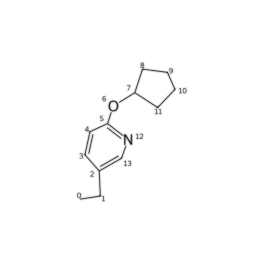 CCc1ccc(OC2CCCC2)nc1